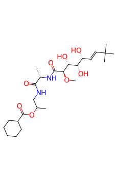 CO[C@@H](C(=O)N[C@@H](C)C(=O)NCC(C)OC(=O)C1CCCCC1)[C@H](O)[C@@H](O)[C@H](O)/C=C/C(C)(C)C